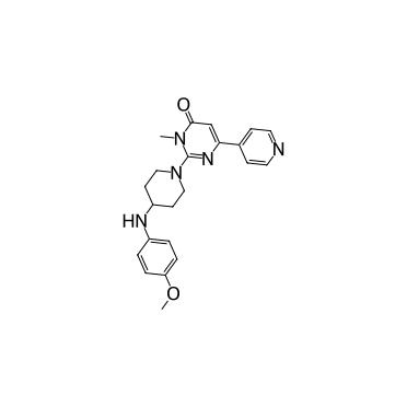 COc1ccc(NC2CCN(c3nc(-c4ccncc4)cc(=O)n3C)CC2)cc1